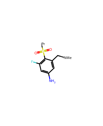 CNCc1cc(N)cc(F)c1S(=O)(=O)C(C)C